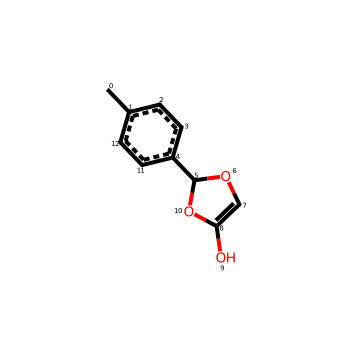 Cc1ccc(C2OC=C(O)O2)cc1